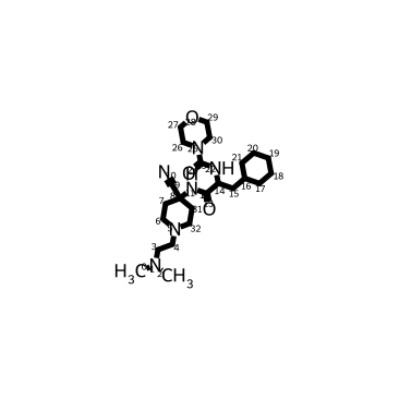 CN(C)CCN1CCC(C#N)(NC(=O)C(CC2CCCCC2)NC(=O)N2CCOCC2)CC1